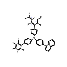 C\C(F)=C(F)/C(F)=C(\C(F)=C\F)c1ccc(N(c2ccc(-c3c(F)c(C)c(C)c(F)c3F)cc2)c2ccc(-c3cccc4ccccc34)cc2)cc1